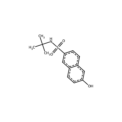 CC(C)(C)NS(=O)(=O)c1ccc2cc(O)ccc2c1